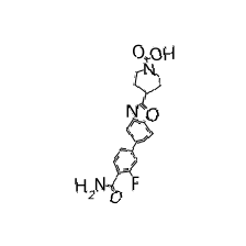 NC(=O)c1ccc(-c2ccc3oc(C4CCN(C(=O)O)CC4)nc3c2)cc1F